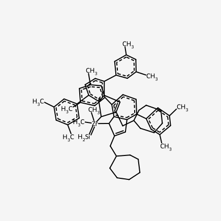 Cc1cc(C)cc(-c2ccc(-c3cc(C)cc(C)c3)c3c2C=C(CC2CCCCCC2)[CH]3[Zr]([CH3])([CH3])(=[SiH2])[CH]2C(CC3CCCCCC3)=Cc3c(-c4cc(C)cc(C)c4)ccc(-c4cc(C)cc(C)c4)c32)c1